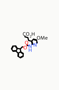 COc1cnc(NC(=O)OCC2c3ccccc3-c3ccccc32)c(CCCC(=O)O)c1